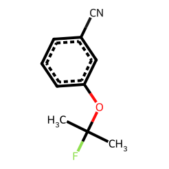 CC(C)(F)Oc1cccc(C#N)c1